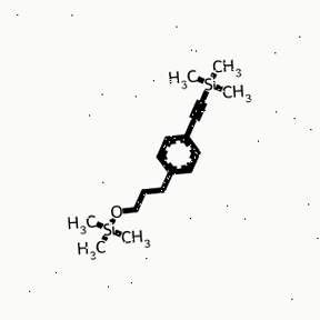 C[Si](C)(C)C#Cc1ccc(CCCO[Si](C)(C)C)cc1